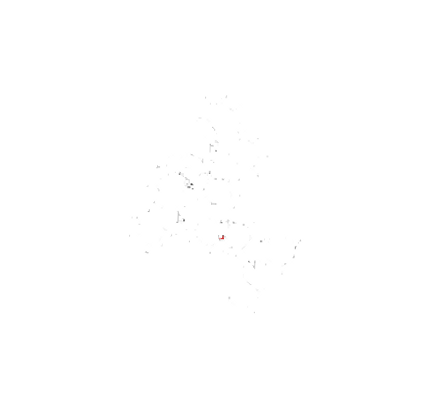 c1ccc(-n2c3ccccc3c3cc(-c4cc(-c5cccc6c7ccccc7n(-c7ccccc7)c56)cc(-c5cccc6c7ccccc7n(-c7ccccc7)c56)c4)ccc32)cc1